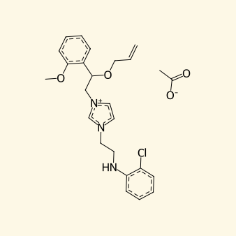 C=CCOC(C[n+]1ccn(CCNc2ccccc2Cl)c1)c1ccccc1OC.CC(=O)[O-]